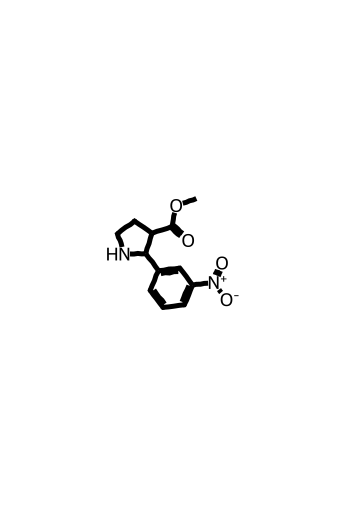 COC(=O)C1CCNC1c1cccc([N+](=O)[O-])c1